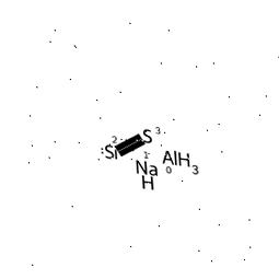 [AlH3].[NaH].[Si]=S